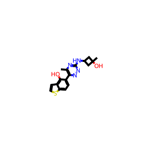 Cc1nc(NC2CC(C)(O)C2)nnc1-c1ccc2sccc2c1O